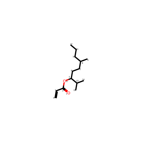 C=CC(=O)OC(CCC(C)CCC)C(C)C